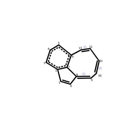 C1=Cc2cccc3c2\C1=C/C=C\C=C/3